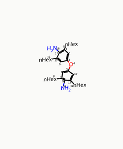 CCCCCCc1cc(Oc2cc(CCCCCC)c(N)c(CCCCCC)c2)cc(CCCCCC)c1N